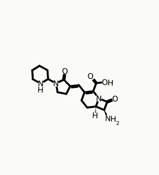 N[C@@H]1C(=O)N2C(C(=O)O)=C(C=C3CCN(C4CCCCN4)C3=O)CC[C@H]12